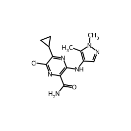 Cc1c(Nc2nc(C3CC3)c(Cl)nc2C(N)=O)cnn1C